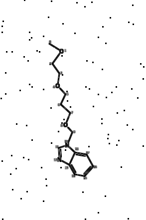 COCCOCCCOCn1cnc2ccccc21